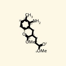 COC(=O)CCC(Cc1cccc(C)c1N)C(=O)OC